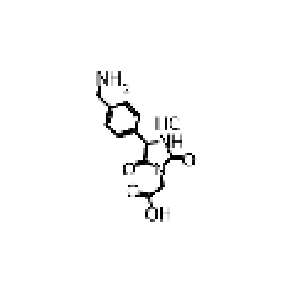 Cl.NCc1ccc(C2NC(=O)N(CC(=O)O)C2=O)cc1